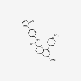 COc1cc2c(c(N3CCN(C)CC3)c1)OC(C(=O)Nc1ccc([N+]3=CC=CC3=O)cc1)CC2